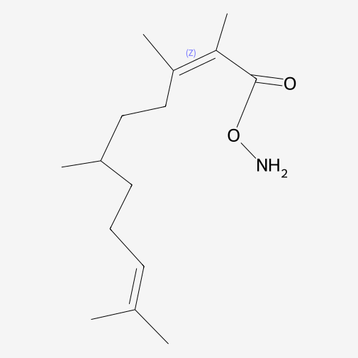 CC(C)=CCCC(C)CC/C(C)=C(/C)C(=O)ON